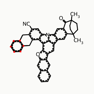 CC12CCC(C)(CC1)c1cc3c4cc5c6cc7ccccc7cc6oc5c5c6c7c(c(C#N)cc6n(c3cc1C2=O)c45)C1c2ccccc2C7c2ccccc21